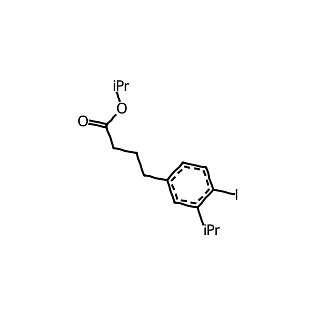 CC(C)OC(=O)CCCc1ccc(I)c(C(C)C)c1